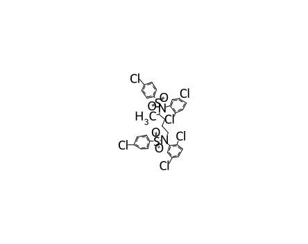 CC(CCCN(c1cc(Cl)ccc1Cl)S(=O)(=O)c1ccc(Cl)cc1)N(c1cc(Cl)ccc1Cl)S(=O)(=O)c1ccc(Cl)cc1